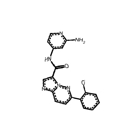 Nc1cc(NC(=O)c2cnc3ccc(-c4ccccc4Cl)nn23)ccn1